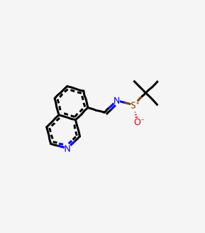 CC(C)(C)[S@+]([O-])N=Cc1cccc2ccncc12